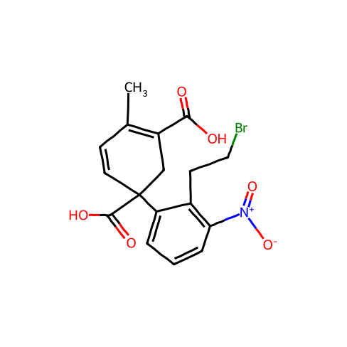 CC1=C(C(=O)O)CC(C(=O)O)(c2cccc([N+](=O)[O-])c2CCBr)C=C1